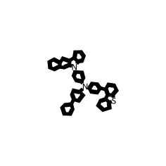 c1ccc(-c2ccc(N(c3ccc(-c4cccc5sc6ccccc6c45)cc3)c3ccc(-n4c5ccccc5c5cc6ccccc6cc54)cc3)cc2)cc1